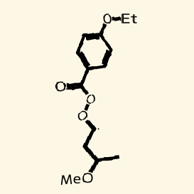 CCOc1ccc(C(=O)OO[CH]CC(C)OC)cc1